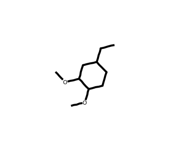 CCC1CCC(OC)C(OC)C1